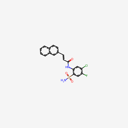 NS(=O)(=O)c1cc(F)c(Cl)cc1NC(=O)C=Cc1ccc2ccccc2c1